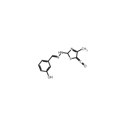 CC1=NC(NN=Cc2cccc(O)c2)SC1=C=O